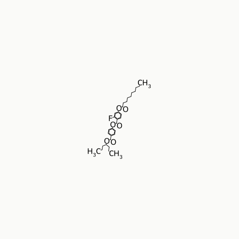 CCCCCCCCCC(=O)Oc1ccc(C(=O)Oc2ccc(C(=O)OC(CCC)CCC)cc2)c(F)c1